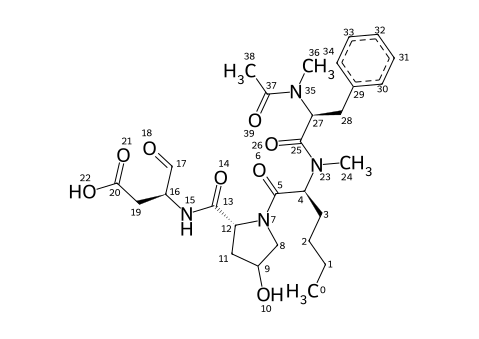 CCCC[C@@H](C(=O)N1CC(O)C[C@@H]1C(=O)N[C@H](C=O)CC(=O)O)N(C)C(=O)[C@H](Cc1ccccc1)N(C)C(C)=O